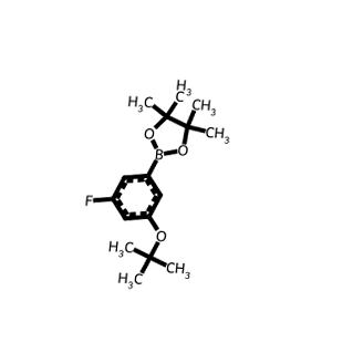 CC(C)(C)Oc1cc(F)cc(B2OC(C)(C)C(C)(C)O2)c1